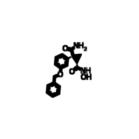 NC(=O)[C@@]1(c2cccc(OCc3ccccc3)c2)C[C@@H]1C(=O)NO